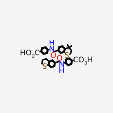 CC1(C)CCSc2cc(C(=O)Nc3ccc(C(=O)O)cc3)ccc21.O=C(O)c1ccc(NC(=O)c2ccc3c(c2)CCCS3)cc1